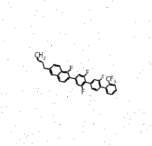 C=CCCc1ccc2c(F)c(-c3cc(F)c(-c4ccc(-c5ccccc5C(F)(F)F)c(F)c4)c(F)c3)ccc2c1